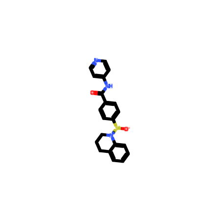 O=C(Nc1ccncc1)c1ccc([S+]([O-])N2CCCc3ccccc32)cc1